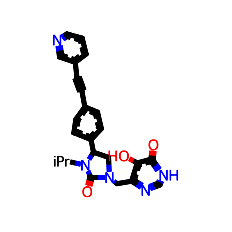 CC(C)N1C(=O)N(Cc2nc[nH]c(=O)c2O)CC1c1ccc(C#Cc2cccnc2)cc1